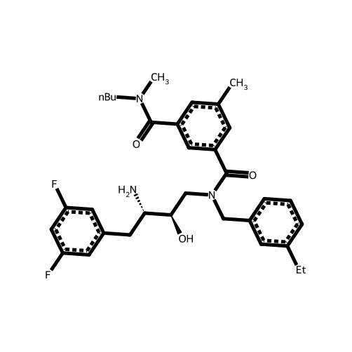 CCCCN(C)C(=O)c1cc(C)cc(C(=O)N(Cc2cccc(CC)c2)C[C@@H](O)[C@@H](N)Cc2cc(F)cc(F)c2)c1